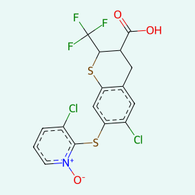 O=C(O)C1Cc2cc(Cl)c(Sc3c(Cl)ccc[n+]3[O-])cc2SC1C(F)(F)F